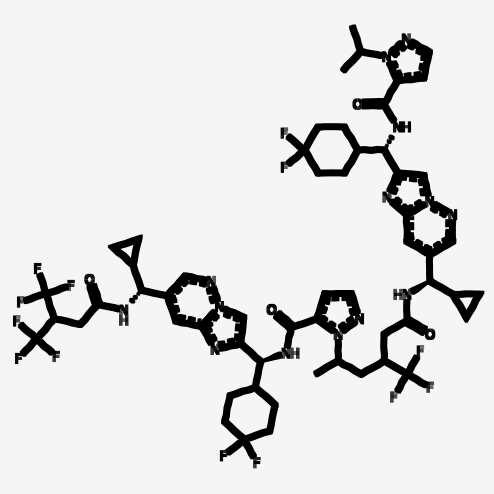 CC(C)n1nccc1C(=O)N[C@H](c1cn2ncc([C@H](NC(=O)CC(CC(C)n3nccc3C(=O)N[C@H](c3cn4ncc([C@H](NC(=O)CC(C(F)(F)F)C(F)(F)F)C5CC5)cc4n3)C3CCC(F)(F)CC3)C(F)(F)F)C3CC3)cc2n1)C1CCC(F)(F)CC1